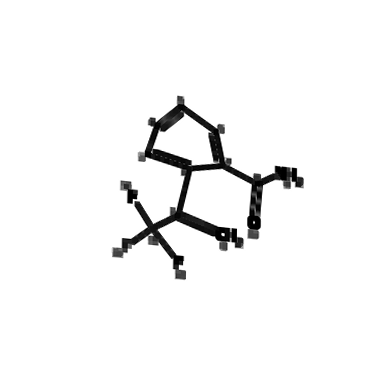 C=C(c1ccccc1C(N)=O)C(F)(F)F